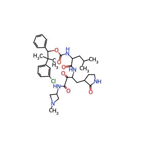 CC(C)CC(NC(=O)OC(c1ccccc1)C(C)(C)c1cccc(Cl)c1)C(=O)NC(CC1CCNC1=O)C(=O)C(=O)NC1CN(C)C1